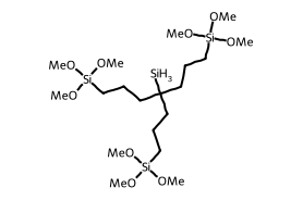 CO[Si](CCCC([SiH3])(CCC[Si](OC)(OC)OC)CCC[Si](OC)(OC)OC)(OC)OC